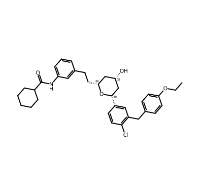 CCOc1ccc(Cc2cc([C@H]3C[C@@H](O)C[C@@H](CCc4cccc(NC(=O)C5CCCCC5)c4)O3)ccc2Cl)cc1